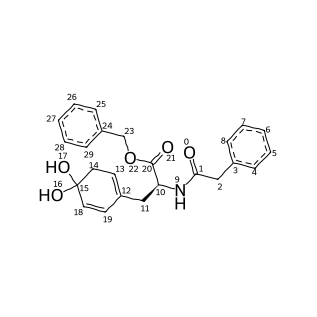 O=C(Cc1ccccc1)N[C@@H](CC1=CCC(O)(O)C=C1)C(=O)OCc1ccccc1